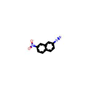 N#[N+]c1ccc2ccc([N+](=O)[O-])cc2c1